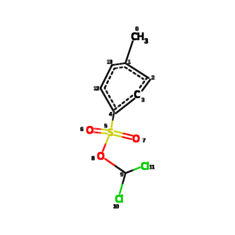 Cc1ccc(S(=O)(=O)OC(Cl)Cl)cc1